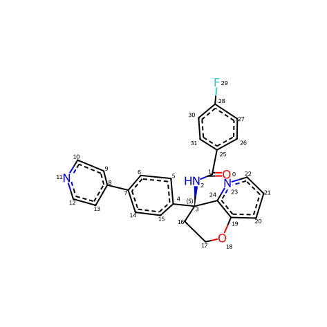 O=C(N[C@]1(c2ccc(-c3ccncc3)cc2)CCOc2cccnc21)c1ccc(F)cc1